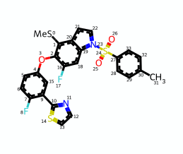 CSc1c(Oc2ccc(F)c(-c3n[c]cs3)c2)c(F)cc2c1ccn2S(=O)(=O)c1ccc(C)cc1